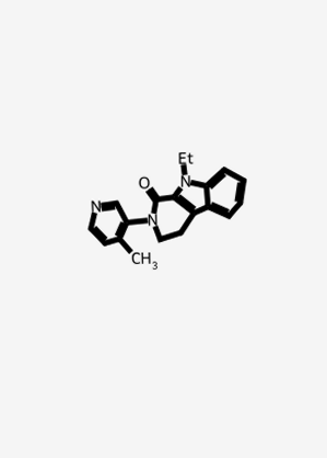 CCn1c2c(c3ccccc31)CCN(c1cnccc1C)C2=O